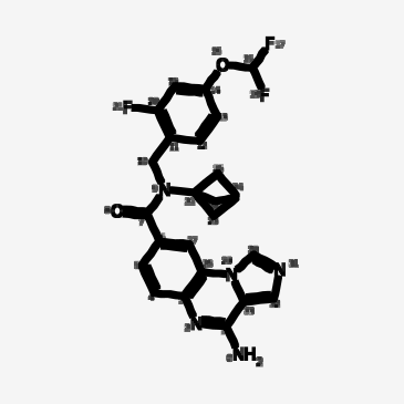 Nc1nc2ccc(C(=O)N(Cc3ccc(OC(F)F)cc3F)C34CC(C3)C4)cc2n2cncc12